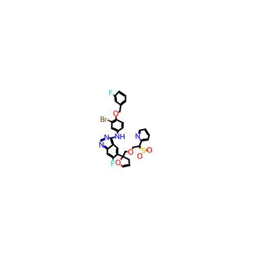 O=S(=O)=C(COCC1(c2cc3c(Nc4ccc(OCc5cccc(F)c5)c(Br)c4)ncnc3cc2F)CC=CO1)c1ccccn1